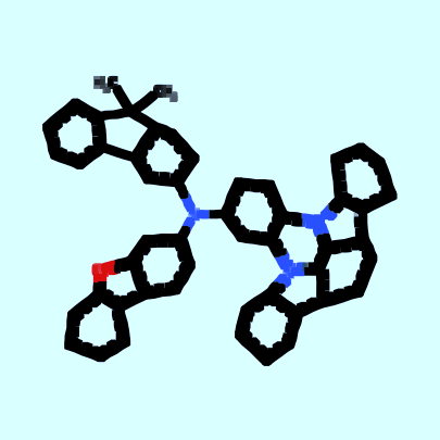 CC1(C)c2ccccc2-c2cc(N(c3ccc4c(c3)oc3ccccc34)c3ccc4c(c3)n3c5ccccc5c5ccc6c7ccccc7n4c6c53)ccc21